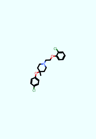 CC1(Oc2ccc(Cl)cc2)CCN(CCOc2ccccc2Cl)CC1